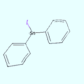 [I][Sn]([c]1ccccc1)[c]1ccccc1